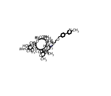 CC[C@H]1OC(=O)[C@H](C)[C@@H](O[C@H]2C[C@@](C)(OC)[C@@H](O)[C@H](C)O2)[C@H](C)[C@@H](O[C@@H]2O[C@H](C)C[C@H](N(C)CC/C(N)=C/N(N)CCOCc3ccc(-c4ccc(C)nc4)cc3)[C@H]2O)[C@](C)(O)C[C@@H](C)CN(C)[C@H](C)[C@@H](O)[C@]1(C)O